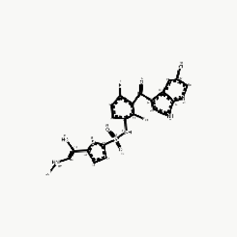 O=C(c1c(F)ccc(NS(=O)(=O)c2ccc(/C(O)=C/NI)s2)c1F)c1c[nH]c2ncc(Cl)cc12